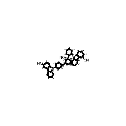 N#Cc1ccc2c(c1)c1ccccc1n2-c1ccc(-c2cccc(-c3ccccc3-n3c4ccccc4c4c(C#N)cccc43)c2C#N)cc1